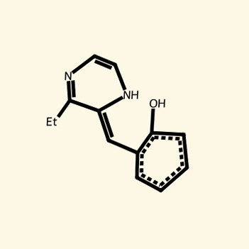 CCC1=NC=CNC1=Cc1ccccc1O